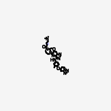 Cc1cc(Nc2ncnc3cc4c(nc23)N2CCCN(C(=O)/C=C/CN(C)C)C(CO4)C2)ccc1Oc1ccn2ncnc2c1